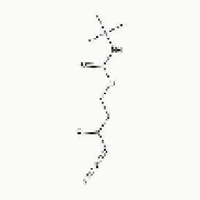 CC(C)(C)NC(=O)OCCC(=O)C=[N+]=[N-]